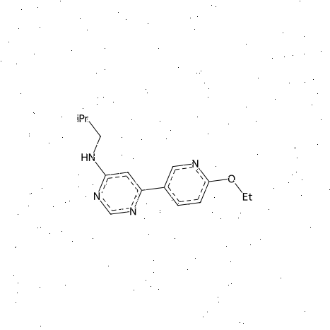 CCOc1ccc(-c2cc(NCC(C)C)ncn2)cn1